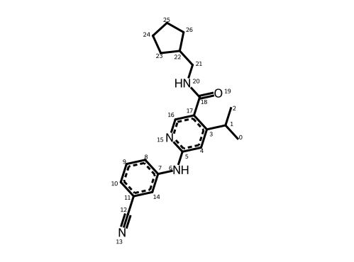 CC(C)c1cc(Nc2cccc(C#N)c2)ncc1C(=O)NCC1CCCC1